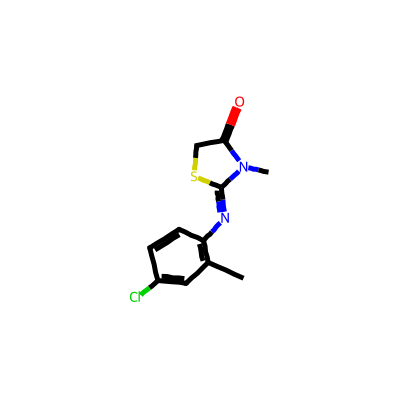 Cc1cc(Cl)ccc1N=C1SCC(=O)N1C